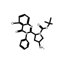 CC(C)(C)OC(=O)N1CC(N)CC1c1nc2cccc(Cl)c2c(=O)n1-c1ccccc1